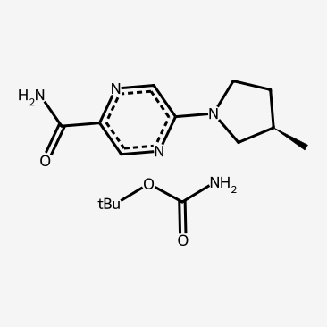 CC(C)(C)OC(N)=O.C[C@@H]1CCN(c2cnc(C(N)=O)cn2)C1